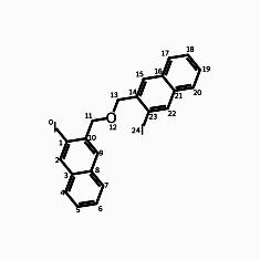 Ic1cc2ccccc2cc1COCc1cc2ccccc2cc1I